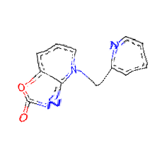 O=c1nc2n(Cc3ccccn3)cccc-2o1